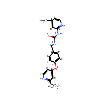 Cc1ccnc(NC(=O)NCc2ccc(Oc3ccnc(C(=O)O)c3)cc2)c1